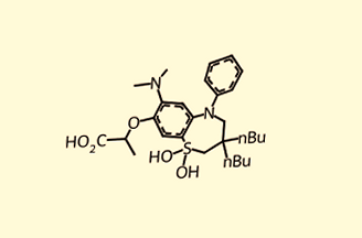 CCCCC1(CCCC)CN(c2ccccc2)c2cc(N(C)C)c(OC(C)C(=O)O)cc2S(O)(O)C1